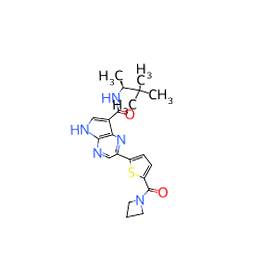 C[C@H](NC(=O)c1c[nH]c2ncc(-c3ccc(C(=O)N4CCC4)s3)nc12)C(C)(C)C